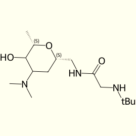 C[C@@H]1O[C@H](CNC(=O)CNC(C)(C)C)CC(N(C)C)C1O